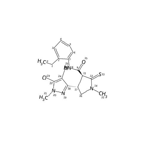 CCc1ccccc1NC(=O)[C@H]1C(=S)N(C)C[C@@H]1c1nn(C)c(Cl)c1Br